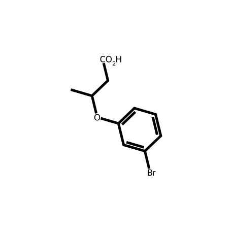 CC(CC(=O)O)Oc1cccc(Br)c1